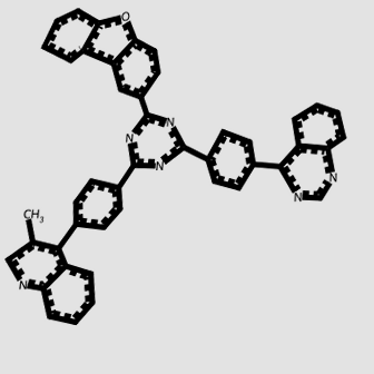 Cc1cnc2ccccc2c1-c1ccc(-c2nc(-c3ccc(-c4ncnc5ccccc45)cc3)nc(-c3ccc4oc5ccccc5c4c3)n2)cc1